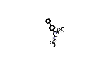 CCC(=O)O/N=C(/C/C(C)=N/OC(=O)CC)c1ccc(-c2ccccc2)cc1